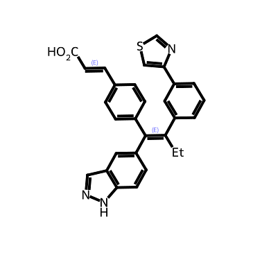 CC/C(=C(/c1ccc(/C=C/C(=O)O)cc1)c1ccc2[nH]ncc2c1)c1cccc(-c2cscn2)c1